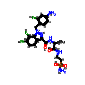 CC(C)(C)C(NC(=O)c1nn(Cc2ccc(N)cc2F)c2c(F)c(F)ccc12)C(=O)NCCS(N)(=O)=O